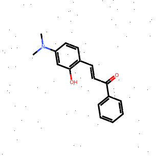 CN(C)c1ccc(C=CC(=O)c2ccccc2)c(O)c1